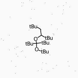 CC(C)(C)CC(OC(OC(C)(C)C)(C(C)(C)C)C(C)(C)C)C(C)(C)C